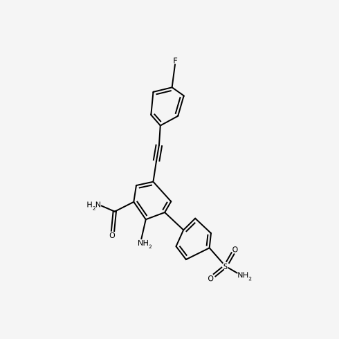 NC(=O)c1cc(C#Cc2ccc(F)cc2)cc(-c2ccc(S(N)(=O)=O)cc2)c1N